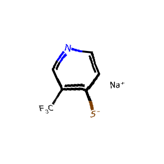 FC(F)(F)c1cnccc1[S-].[Na+]